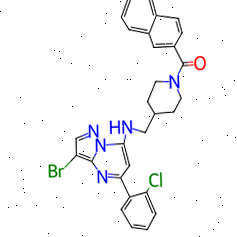 O=C(c1ccc2ccccc2c1)N1CCC(CNc2cc(-c3ccccc3Cl)nc3c(Br)cnn23)CC1